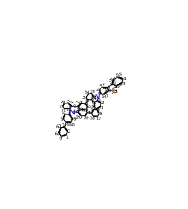 c1ccc(-c2ccc(N(c3ccc(-c4ccccc4)cc3)c3ccccc3-c3cccc(-c4cccc5c4c4ccccc4n5-c4ccc5c(c4)sc4ccccc45)c3)cc2)cc1